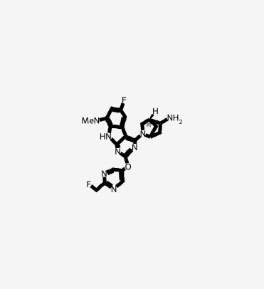 CNc1cc(F)cc2c1[nH]c1nc(Oc3cnc(CF)nc3)nc(N3C[C@H]4CC3CC4N)c12